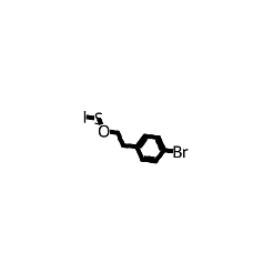 Brc1ccc(CCOSI)cc1